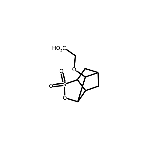 O=C(O)COC1C2CC3C1OS(=O)(=O)C3C2